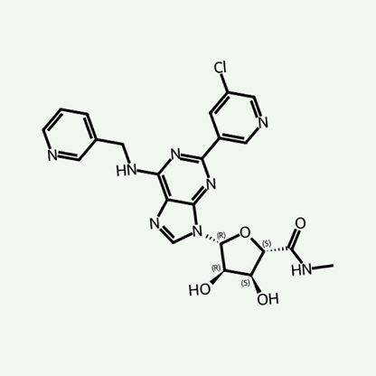 CNC(=O)[C@H]1O[C@@H](n2cnc3c(NCc4cccnc4)nc(-c4cncc(Cl)c4)nc32)[C@H](O)[C@@H]1O